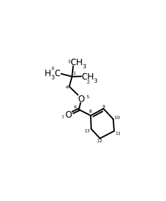 CC(C)(C)COC(=O)C1=CCCCC1